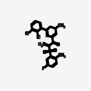 C=C(C(=O)C1=CC(C)CC(c2cccc(Cl)c2Cl)=N1)S(=O)(=O)c1cc(F)ccc1C